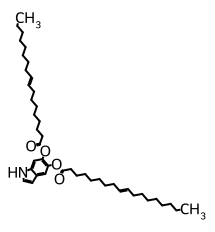 CCCCCCCCC=CCCCCCCCC(=O)Oc1cc2cc[nH]c2cc1OC(=O)CCCCCCCC=CCCCCCCCC